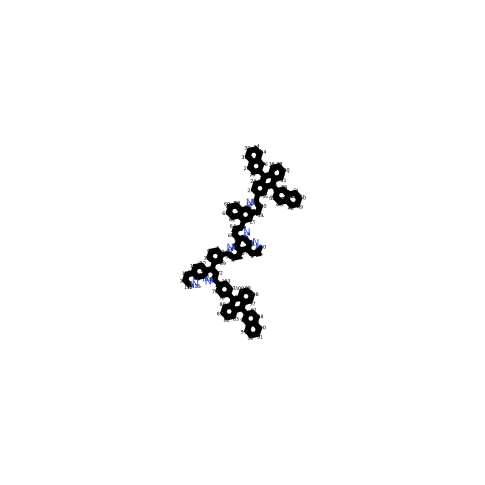 c1cc(-c2ccc3c4cccnc4c4nc(-c5cc6ccc(-c7ccc8c(-c9ccc%10ccccc%10c9)c9ccccc9c(-c9ccc%10ccccc%10c9)c8c7)nc6c6ccccc56)ccc4c3n2)cc(-c2cc(-c3ccc(-c4c5ccccc5c(-c5ccc6ccccc6c5)c5ccccc45)cc3)nc3c2ccc2cccnc23)c1